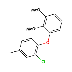 COc1cccc(Oc2ccc(C)cc2Cl)c1OC